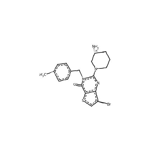 Cc1ccc(Cn2c(N3CCC[C@@H](N)C3)nc3c(Br)csc3c2=O)cc1